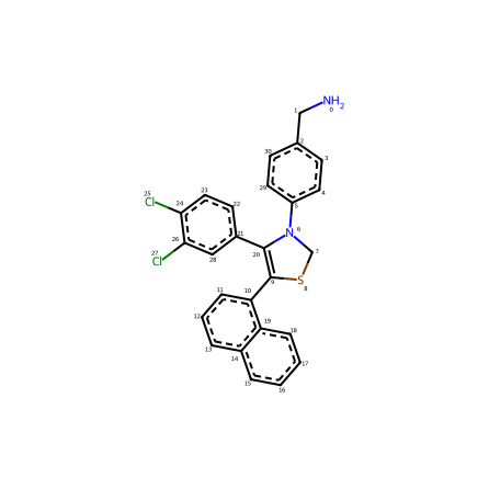 NCc1ccc(N2CSC(c3cccc4ccccc34)=C2c2ccc(Cl)c(Cl)c2)cc1